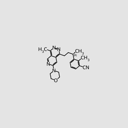 Cc1c(C#N)cccc1[C@H](C)CCc1nnc(C)c2cnc(N3CCOCC3)cc12